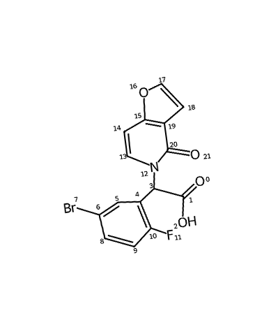 O=C(O)C(c1cc(Br)ccc1F)n1ccc2occc2c1=O